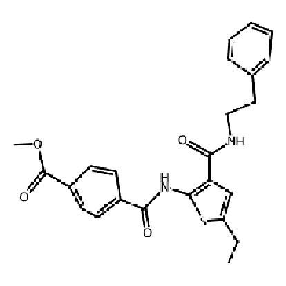 CCc1cc(C(=O)NCCc2ccccc2)c(NC(=O)c2ccc(C(=O)OC)cc2)s1